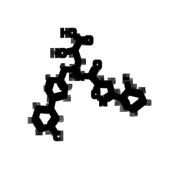 O=C(NN(Cc1ccc(-c2cccc(Cl)c2)cc1)CC(O)C(=O)O)c1cc(-c2ccccc2F)no1